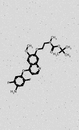 COc1cc2c(Oc3cc(F)c(N)cc3F)ccnc2cc1OCCN(C)C(=O)OC(C)(C)C